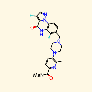 CNC(=O)c1ccc(N2CCN(Cc3ccc4c([nH]c(=O)c5c(F)cnn54)c3F)CC2)c(C)n1